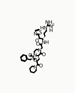 N=C(N)NCCC[C@H](NC(=O)CN1CCN(S(=O)(=O)Cc2ccccc2)[C@H](CCC(=O)N2CCCCC2)C1=O)C(=O)c1nccs1